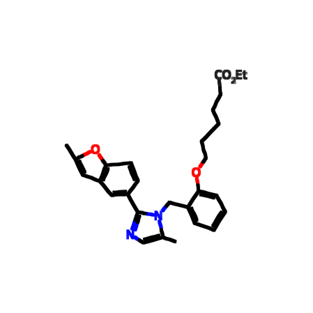 CCOC(=O)CCCCCOc1ccccc1Cn1c(C)cnc1-c1ccc2oc(C)cc2c1